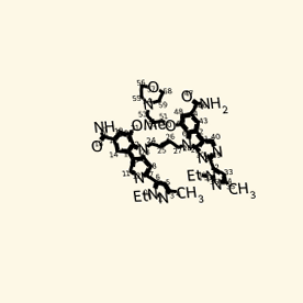 CCn1nc(C)cc1-c1cc2c(cn1)c1cc(C(N)=O)cc(OC)c1n2C/C=C/Cn1c2nc(-c3cc(C)nn3CC)ncc2c2cc(C(N)=O)cc(OCCCN3CCOCC3)c21